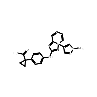 Cn1cc([N+]23C=CN=CC2=NC(Nc2ccc(C4(C(N)=O)CC4)cc2)=N3)cn1